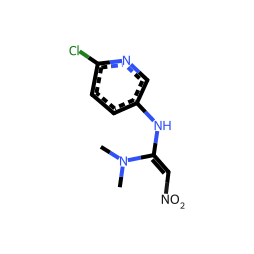 CN(C)C(=C[N+](=O)[O-])Nc1ccc(Cl)nc1